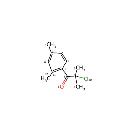 Cc1ccc(C(=O)C(C)(C)Cl)c(C)c1